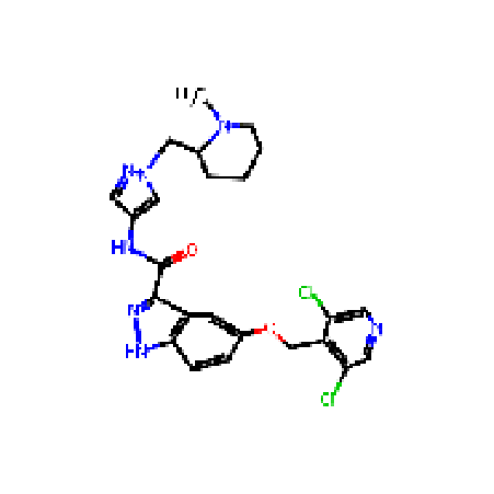 CN1CCCCC1Cn1cc(NC(=O)c2n[nH]c3ccc(OCc4c(Cl)cncc4Cl)cc23)cn1